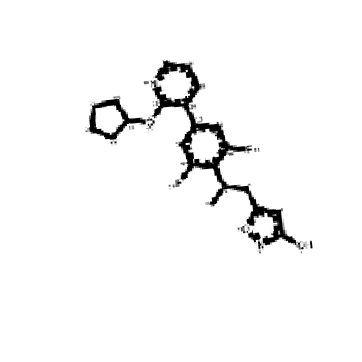 CC(Cc1cc(O)no1)c1c(F)cc(-c2cccnc2OC2CCCC2)cc1F